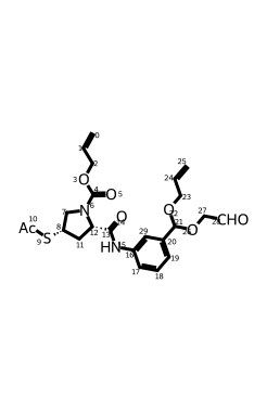 C=CCOC(=O)N1C[C@@H](SC(C)=O)C[C@H]1C(=O)Nc1cccc(C(OCC=C)OCC=O)c1